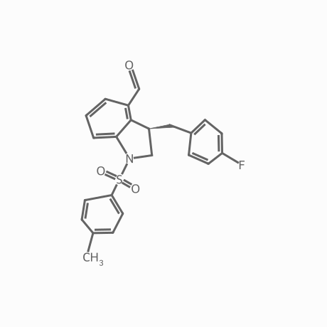 Cc1ccc(S(=O)(=O)N2C[C@H](Cc3ccc(F)cc3)c3c(C=O)cccc32)cc1